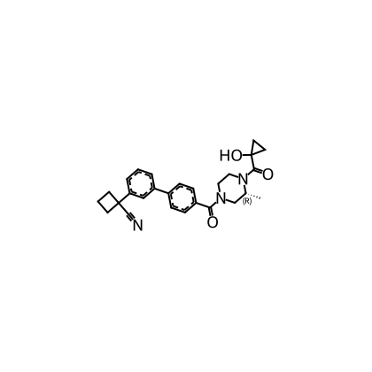 C[C@@H]1CN(C(=O)c2ccc(-c3cccc(C4(C#N)CCC4)c3)cc2)CCN1C(=O)C1(O)CC1